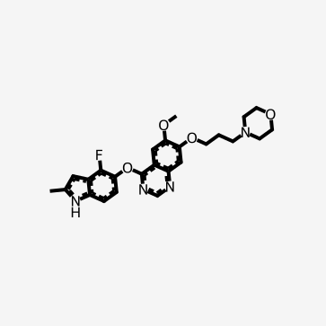 COc1cc2c(Oc3ccc4[nH]c(C)cc4c3F)ncnc2cc1OCCCN1CCOCC1